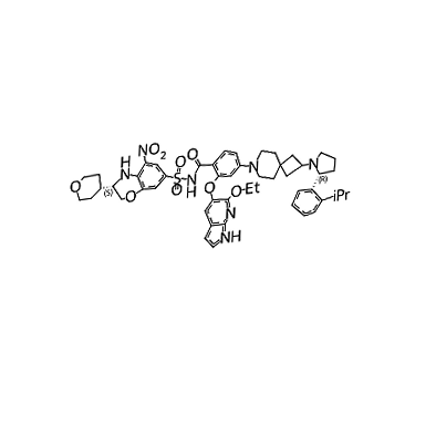 CCOc1nc2[nH]ccc2cc1Oc1cc(N2CCC3(CC2)CC(N2CCC[C@@H]2c2ccccc2C(C)C)C3)ccc1C(=O)NS(=O)(=O)c1cc2c(c([N+](=O)[O-])c1)N[C@@H](C1CCOCC1)CO2